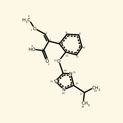 COC=C(C(=O)O)c1ccccc1Oc1nc(C(C)C)ns1